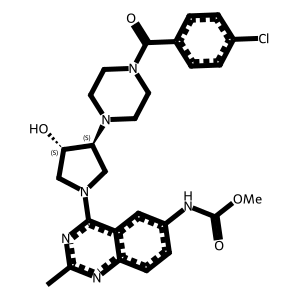 COC(=O)Nc1ccc2nc(C)nc(N3C[C@H](O)[C@@H](N4CCN(C(=O)c5ccc(Cl)cc5)CC4)C3)c2c1